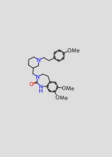 COc1ccc(CCN2CCCC(CN3CCc4cc(OC)c(OC)cc4NC3=O)C2)cc1